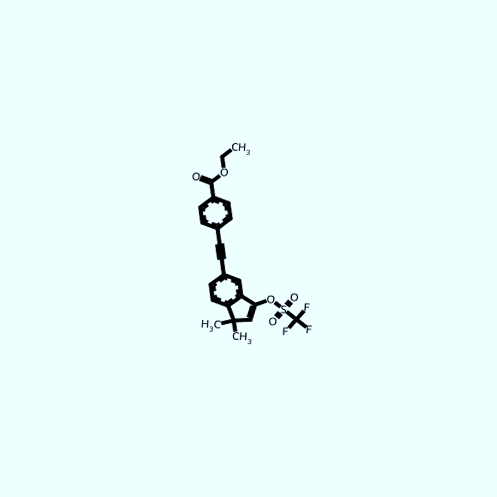 CCOC(=O)c1ccc(C#Cc2ccc3c(c2)C(OS(=O)(=O)C(F)(F)F)=CC3(C)C)cc1